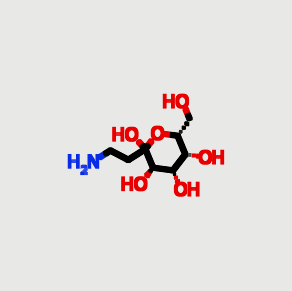 NCCC1(O)O[C@H](CO)[C@H](O)[C@H](O)[C@H]1O